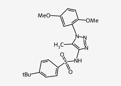 COc1ccc(OC)c(-n2nnc(NS(=O)(=O)c3ccc(C(C)(C)C)cc3)c2C)c1